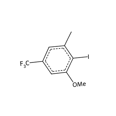 COc1cc(C(F)(F)F)cc(C)c1I